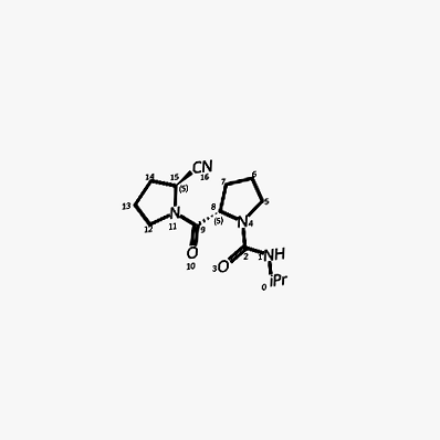 CC(C)NC(=O)N1CCC[C@H]1C(=O)N1CCC[C@H]1C#N